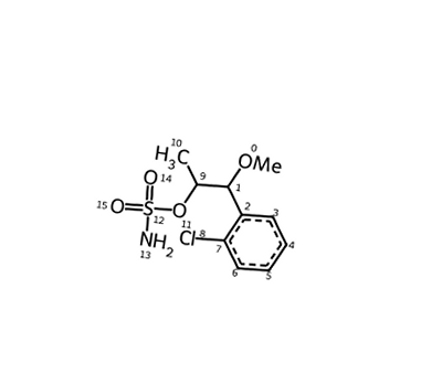 COC(c1ccccc1Cl)C(C)OS(N)(=O)=O